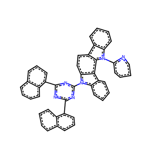 c1ccc(-n2c3ccccc3c3ccc4c(c5ccccc5n4-c4nc(-c5cccc6ccccc56)nc(-c5cccc6ccccc56)n4)c32)nc1